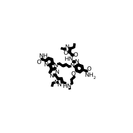 CCc1nc(C)oc1C(=O)Nc1nc2cc(C(N)=O)cc(OCCCNC)c2n1C/C=C/Cn1c2ccc(C(N)=O)nc2c2cnc(-c3cc(C)nn3CC)nc21